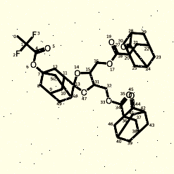 CC(F)(F)C(=O)OC12CC3CC(C1)C1(OC(COC(=O)C45CC6CC(C4)C(=O)C(C6)C5)C(COC(=O)C45CC6CC(CC(C6)C4=O)C5)O1)C(C3)C2